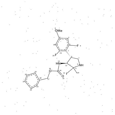 COc1cc(F)c([C@@H]2CNC(C)(I)[C@H]2NC(=O)OCc2ccccc2)c(F)c1